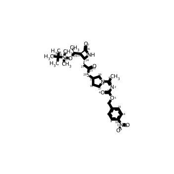 CC(=NC(=O)OCc1ccc([N+](=O)[O-])cc1)N1CCC(SC(=O)C[C@H]2NC(=O)[C@@H]2[C@@H](C)O[Si](C)(C)C(C)(C)C)C1